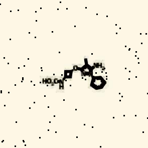 Cc1c(O[C@H]2C[C@H](NC(=O)O)C2)nn(-c2ccccc2)c1N